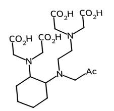 CC(=O)CN(CCN(CC(=O)O)CC(=O)O)C1CCCCC1N(CC(=O)O)CC(=O)O